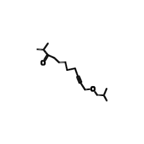 CC(C)COCC#CCCCCCC(=O)C(C)C